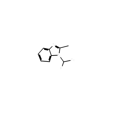 CCC(CC)n1c(C)nc2ccccc21